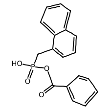 O=C(OP(=O)(O)Cc1cccc2ccccc12)c1ccccc1